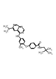 Cc1cc(Nc2ncnc3cnc(N(C)C)cc23)ccc1Oc1ccc(C(=O)NCC(C)(C)C)cc1